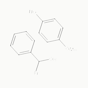 CCC(O)c1ccccc1.COc1ccc(O)cc1